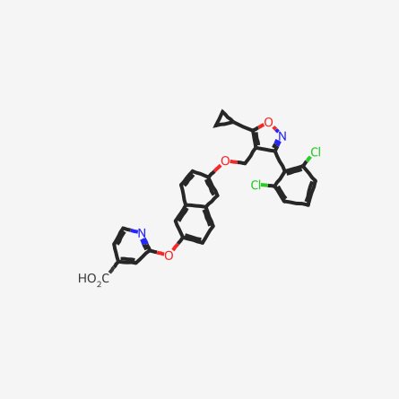 O=C(O)c1ccnc(Oc2ccc3cc(OCc4c(-c5c(Cl)cccc5Cl)noc4C4CC4)ccc3c2)c1